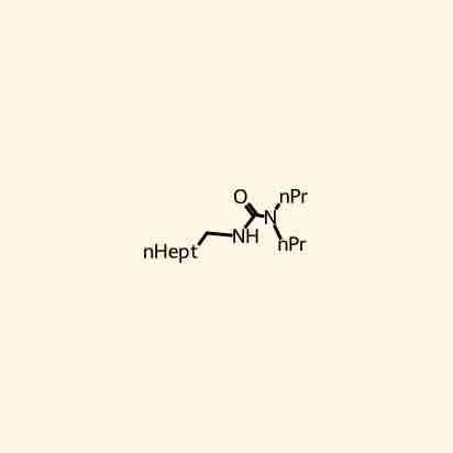 CCCCCCCCNC(=O)N(CCC)CCC